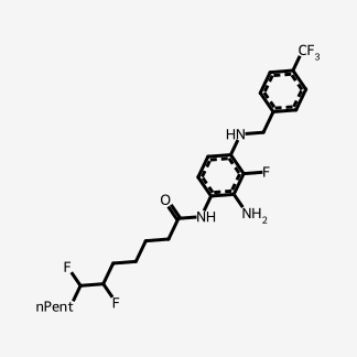 CCCCCC(F)C(F)CCCCC(=O)Nc1ccc(NCc2ccc(C(F)(F)F)cc2)c(F)c1N